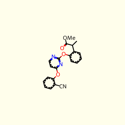 COC(=O)C(C)c1ccccc1Oc1nccc(Oc2ccccc2C#N)n1